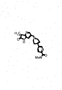 CNC(=O)c1ccc(C2=CCN(Cc3cnc4c(c3)NC(=O)[C@@H]4C)CC2)cn1